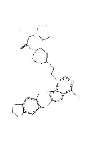 C[C@@H](C(=O)N1CCC(CCn2cnc(N)c3nc(Sc4cc5c(cc4Br)OCO5)nc2-3)CC1)N(CC(C)(C)C)C(=O)O